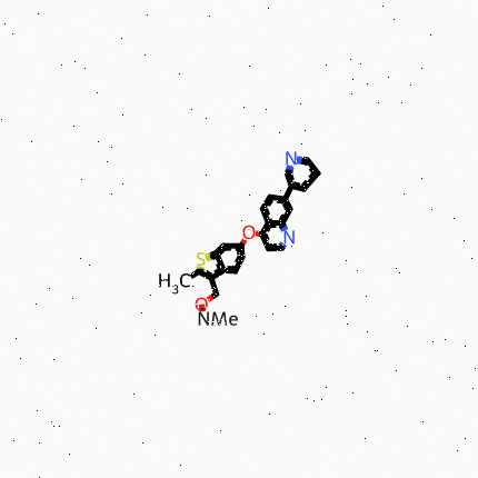 CNOCc1c(C)sc2cc(Oc3ccnc4cc(-c5cccnc5)ccc34)ccc12